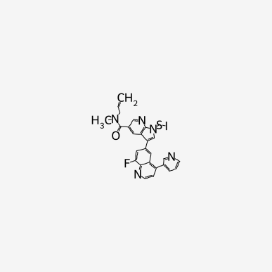 C=CCN(C)C(=O)c1cnc2c(c1)c(-c1cc(F)c3nccc(-c4cccnc4)c3c1)cn2SI